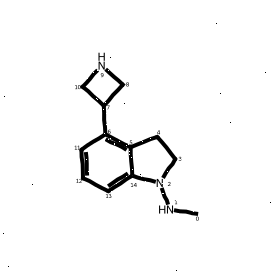 CNN1CCc2c(C3CNC3)cccc21